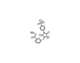 CC(C)(C)OC(=O)c1cc(CN2C(=O)N(c3ccc(S(=O)(=O)C(F)(F)F)cc3)C(=O)C23CC3)ccn1